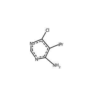 CC(C)c1c(N)ncnc1Cl